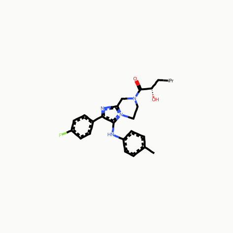 Cc1ccc(Nc2c(-c3ccc(F)cc3)nc3n2CCN(C(=O)[C@@H](O)CC(C)C)C3)cc1